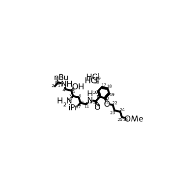 CCCC[C@@H](C)NCC(O)C(N)CC(CNC(=O)c1ccccc1OCCCCOC)C(C)C.Cl.Cl